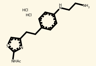 CC(=O)Nc1nc(CCc2ccc(NCCN)cc2)cs1.Cl.Cl